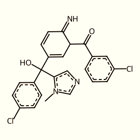 Cn1cncc1C(O)(C1=CC(C(=O)c2cccc(Cl)c2)C(=N)C=C1)c1ccc(Cl)cc1